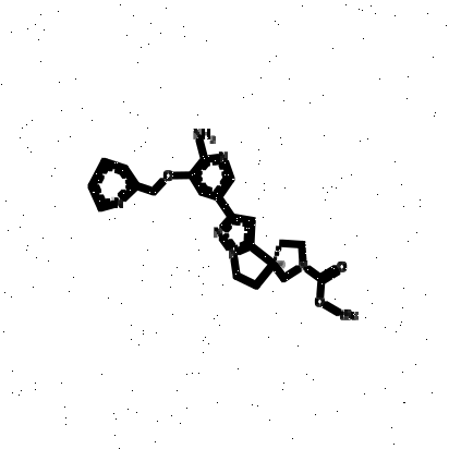 CC(C)(C)OC(=O)N1CC[C@@]2(CCn3nc(-c4cnc(N)c(OCc5ccccn5)c4)cc32)C1